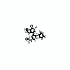 Cn1cc(-c2cc(N=S(C)(C)=O)cnc2Oc2ccc(F)cc2F)c2cc[nH]c2c1=O